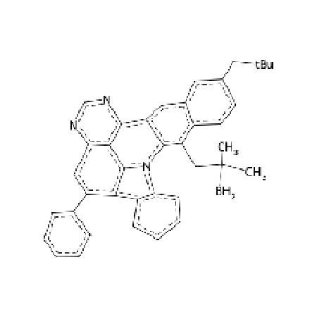 BC(C)(C)Cc1c2ccc(CC(C)(C)C)cc2cc2c3ncnc4cc(-c5ccccc5)c5c6ccccc6n(c12)c5c43